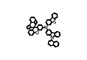 c1ccc2c(c1)Oc1cc(N(c3ccc4c(c3)sc3ccccc34)c3ccc4c(c3)c3ccccc3n4-c3cccc4ccccc34)ccc1C21c2ccccc2-c2cccc3cccc1c23